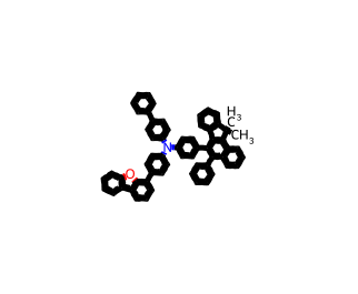 CC1(C)c2ccccc2-c2c(-c3ccc(N(c4ccc(-c5ccccc5)cc4)c4ccc(-c5cccc6c5oc5ccccc56)cc4)cc3)c(-c3ccccc3)c3ccccc3c21